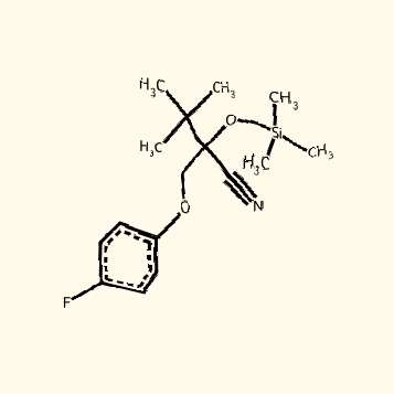 CC(C)(C)C(C#N)(COc1ccc(F)cc1)O[Si](C)(C)C